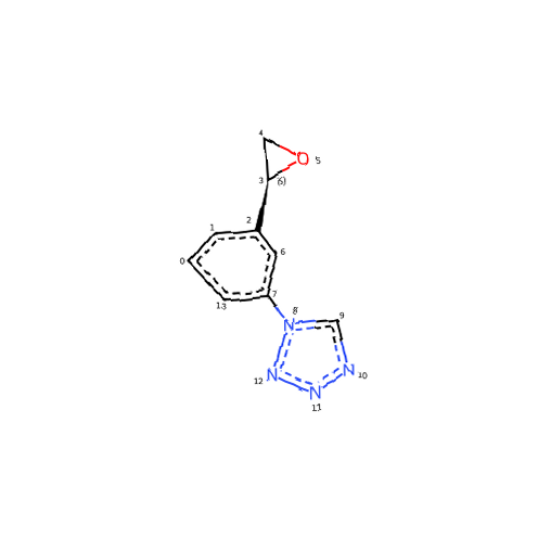 c1cc([C@H]2CO2)cc(-n2cnnn2)c1